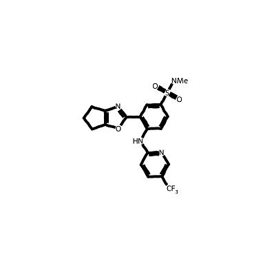 CNS(=O)(=O)c1ccc(Nc2ccc(C(F)(F)F)cn2)c(-c2nc3c(o2)CCC3)c1